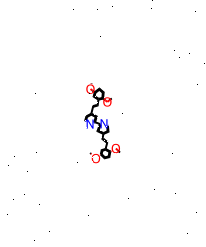 COc1ccc(OC)c(/C=C/c2ccnc(-c3cc(/C=C/c4cc(OC)ccc4OC)ccn3)c2)c1